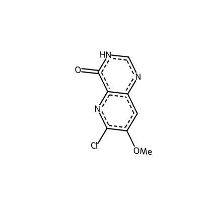 COc1cc2nc[nH]c(=O)c2nc1Cl